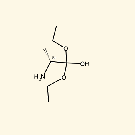 CCOC(O)(OCC)[C@@H](C)N